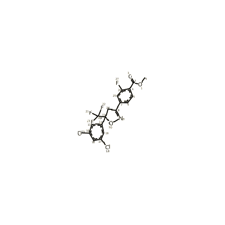 COC(=O)c1ccc(C2=NOC(c3cc(Cl)cc(Cl)c3)(C(F)(F)F)C2)cc1F